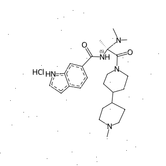 CN1CCC(C2CCN(C(=O)[C@@](C)(NC(=O)c3ccc4cc[nH]c4c3)N(C)C)CC2)CC1.Cl